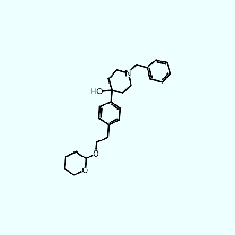 OC1(c2ccc(CCOC3CCCCO3)cc2)CCN(Cc2ccccc2)CC1